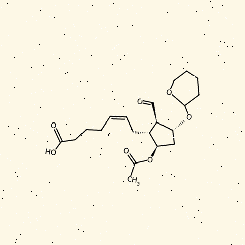 CC(=O)O[C@@H]1C[C@@H](OC2CCCCO2)[C@H](C=O)[C@H]1C/C=C\CCCC(=O)O